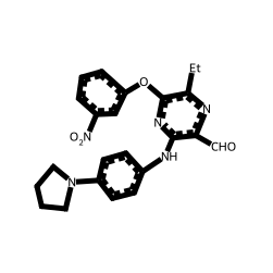 CCc1nc(C=O)c(Nc2ccc(N3CCCC3)cc2)nc1Oc1cccc([N+](=O)[O-])c1